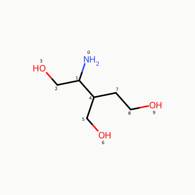 NC(CO)C(CO)CCO